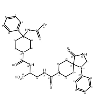 CC(C)C(=O)NC1(c2ccccc2)CCN(C(=O)NC(CNC(=O)N2CCC3(CC2)C(=O)NCN3c2ccccc2)C(=O)O)CC1